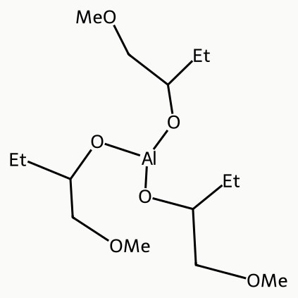 CCC(COC)[O][Al]([O]C(CC)COC)[O]C(CC)COC